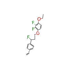 C=Cc1ccc(C(F)CCOc2ccc(OCC)c(F)c2F)cc1